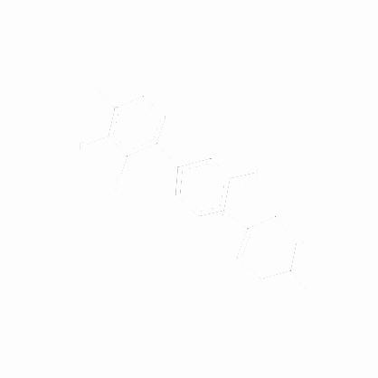 Cc1ccc(-c2ccc(C3=CCC(C)CC3)c(F)c2)c(F)c1F